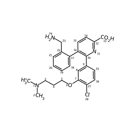 CN(C)CCCOc1cc(-c2nc(C(=O)O)ccc2-c2ccccc2CN)ccc1Cl